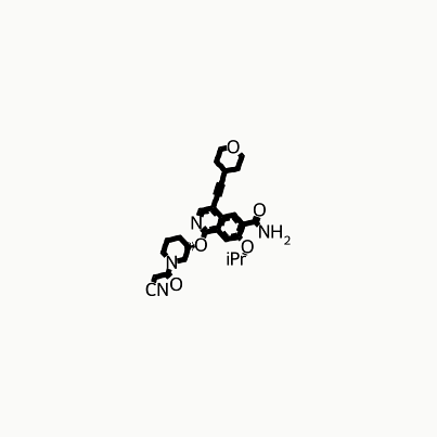 CC(C)Oc1cc2c(O[C@@H]3CCCN(C(=O)CC#N)C3)ncc(C#CC3CCOCC3)c2cc1C(N)=O